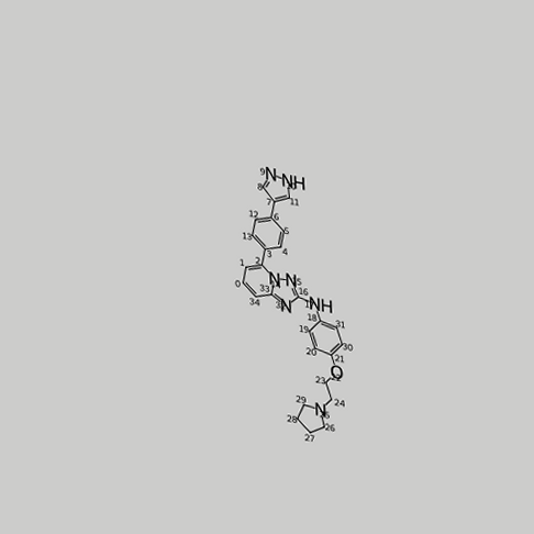 c1cc(-c2ccc(-c3cn[nH]c3)cc2)n2nc(Nc3ccc(OCCN4CCCC4)cc3)nc2c1